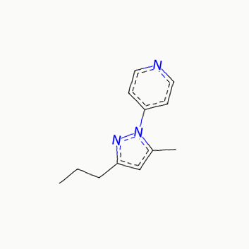 CCCc1cc(C)n(-c2ccncc2)n1